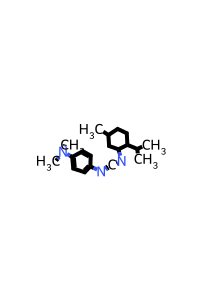 CC1CCC(C(C)C)C(N=C=Nc2ccc(N(C)C)cc2)C1